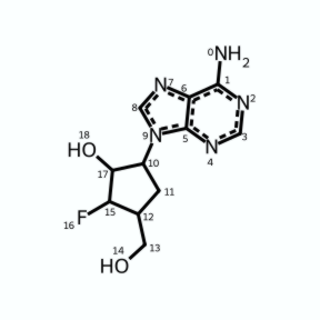 Nc1ncnc2c1ncn2C1CC(CO)C(F)C1O